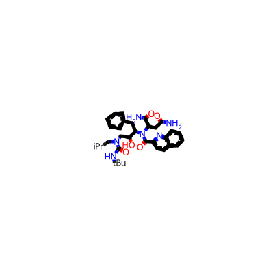 CC(C)CN(CC(O)C(Cc1ccccc1)N(C(=O)c1ccc2ccccc2n1)C(CC(N)=O)C(N)=O)C(=O)NC(C)(C)C